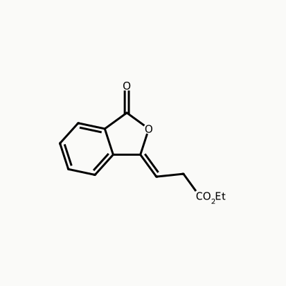 CCOC(=O)CC=C1OC(=O)c2ccccc21